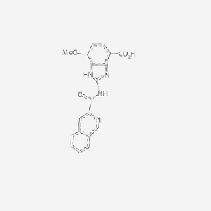 COc1ccc(C(=O)O)c2nc(NC(=O)c3cc4ccccc4cn3)[nH]c12